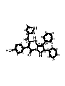 O=C1C(c2ccc(O)cc2)=C(Nc2cc[nH]n2)NC2=C(c3ccccc3)C(c3ccccc3)NN12